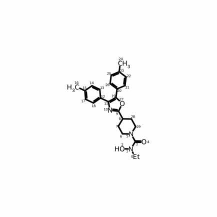 CCN(O)C(=O)N1CCC(c2nc(-c3ccc(C)cc3)c(-c3ccc(C)cc3)o2)CC1